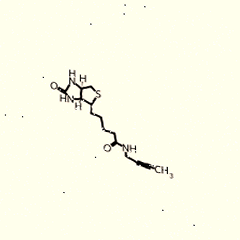 CC#CCNC(=O)CCCC[C@@H]1SC[C@@H]2NC(=O)N[C@@H]21